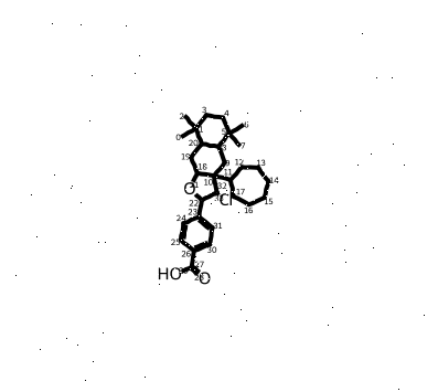 CC1(C)CCC(C)(C)C2CC3(C4CCCCCC4)C(CC21)OC(c1ccc(C(=O)O)cc1)C3Cl